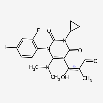 C/C(C=O)=C(\O)c1c(N(C)C)n(-c2ccc(I)cc2F)c(=O)n(C2CC2)c1=O